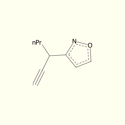 [C]#CC(CCC)c1ccon1